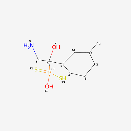 CC1CCCC(C(O)(CN)P(O)(=S)S)C1